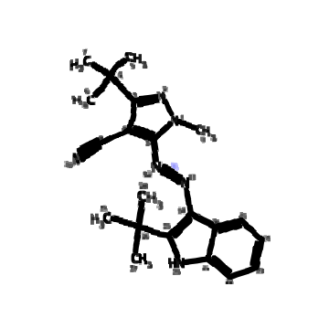 Cn1nc(C(C)(C)C)c(C#N)c1/N=N/c1c(C(C)(C)C)[nH]c2ccccc12